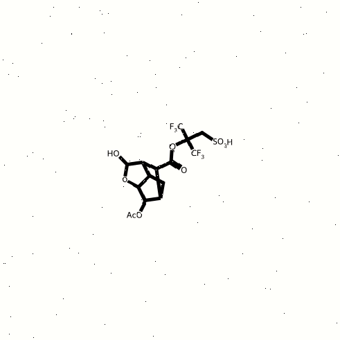 CC(=O)OC1C2CC3C1OC(O)C3C2C(=O)OC(CS(=O)(=O)O)(C(F)(F)F)C(F)(F)F